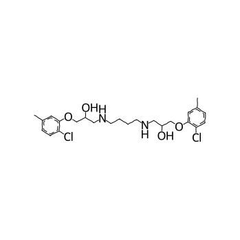 Cc1ccc(Cl)c(OCC(O)CNCCCCNCC(O)COc2cc(C)ccc2Cl)c1